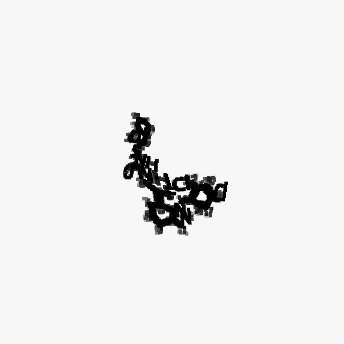 O=C(NC/C(F)=C1\CCCc2cnn(Cc3ccc(Cl)cc3Cl)c21)NSc1cc2ccccc2o1